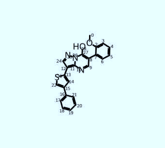 COc1ccccc1-c1cnc2c(-c3cc(-c4ccccc4)cs3)cnn2c1O